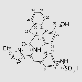 CCc1csc(C(Cc2ccc(NS(=O)(=O)O)cc2)NC(=O)C(Cc2ccccc2)c2cccc(CO)c2)n1